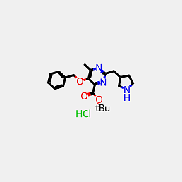 Cc1nc(CC2CCNC2)nc(C(=O)OC(C)(C)C)c1OCc1ccccc1.Cl